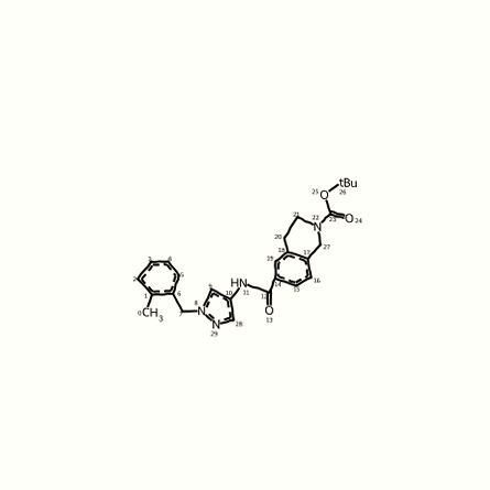 Cc1ccccc1Cn1cc(NC(=O)c2ccc3c(c2)CCN(C(=O)OC(C)(C)C)C3)cn1